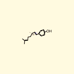 CC(C)=CCC[C@H](C)/C=C/c1ccc(O)cc1